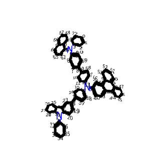 c1ccc(N(c2ccc(-c3ccc(N(c4ccc(-c5ccc6c(c5)c5ccccc5n6-c5ccccc5)cc4)c4ccc5c6ccccc6c6ccccc6c5c4)cc3)cc2)c2cccc3ccccc23)cc1